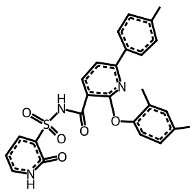 Cc1ccc(-c2ccc(C(=O)NS(=O)(=O)c3ccc[nH]c3=O)c(Oc3ccc(C)cc3C)n2)cc1